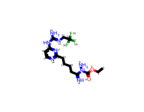 CCOC(=O)N(N)C(=N)CCCCc1nccc(NC(N)=NCC(F)(F)F)n1